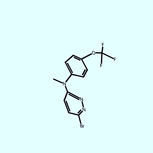 CN(c1ccc(OC(F)(F)F)cc1)c1ccc(Br)nn1